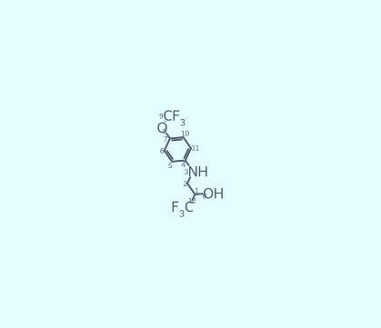 OC(CNc1ccc(OC(F)(F)F)cc1)C(F)(F)F